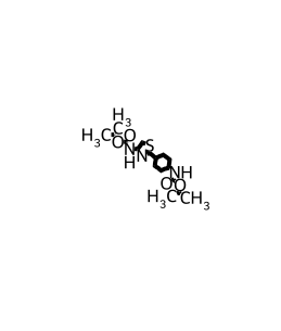 CC(C)OC(=O)NC1CCC(C2=NC(NC(=O)OC(C)C)CS2)CC1